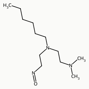 CCCCCCN(CCN=O)CCN(C)C